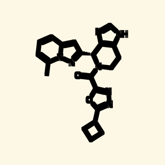 Cc1cccc2cc([C@@H]3c4nc[nH]c4CCN3C(=O)c3nnc(C4CCC4)o3)nn12